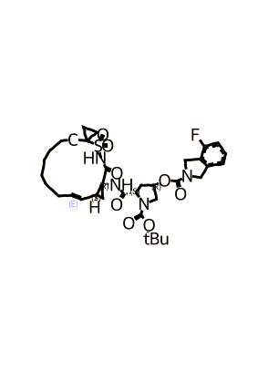 CC(C)(C)OC(=O)N1C[C@H](OC(=O)N2Cc3cccc(F)c3C2)C[C@H]1C(=O)N[C@]12C[C@H]1/C=C/CCCCCCCC1(CC1)S(=O)(=O)NC2=O